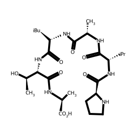 CC[C@H](C)[C@H](NC(=O)[C@H](C)NC(=O)[C@@H](NC(=O)[C@@H]1CCCN1)C(C)C)C(=O)N[C@H](C(=O)N[C@@H](C)C(=O)O)[C@@H](C)O